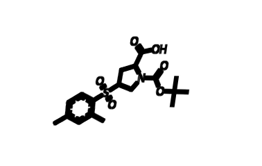 Cc1ccc(S(=O)(=O)C2CC(C(=O)O)N(C(=O)OC(C)(C)C)C2)c(C)c1